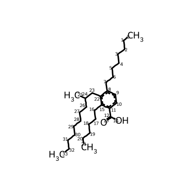 CCCCCCCCc1ccc(C(=O)O)c(CCCCCC)c1CC(C)CCCCCCCC